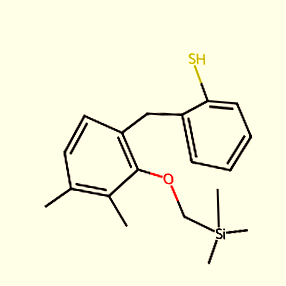 Cc1ccc(Cc2ccccc2S)c(OC[Si](C)(C)C)c1C